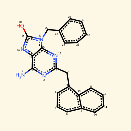 Nc1nc(Cc2cccc3ccccc23)nc2c1nc(O)n2Cc1ccccc1